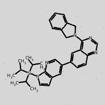 CC(C)[Si](C(C)C)(C(C)C)n1ccc2cc(-c3ccc4ncnc(N5Cc6ccccc6C5)c4c3)cnc21